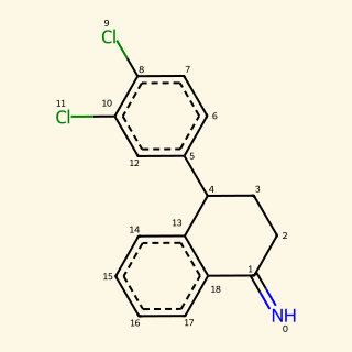 N=C1CCC(c2ccc(Cl)c(Cl)c2)c2ccccc21